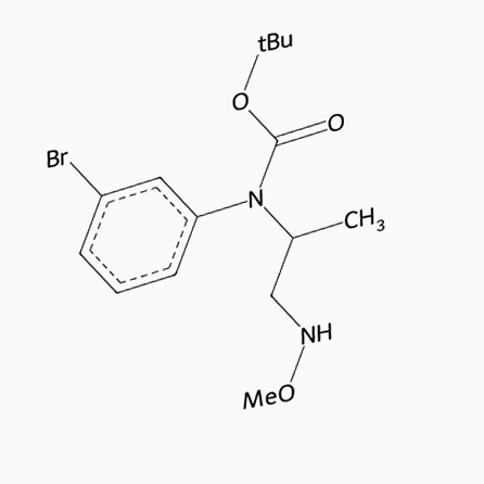 CONCC(C)N(C(=O)OC(C)(C)C)c1cccc(Br)c1